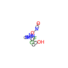 Oc1cc(-c2c(Cl)cc3c(N4CC5CCC(C4)N5)nc(OCCCN4CCC5(CC4)COC5)nc3c2F)c2ccccc2c1